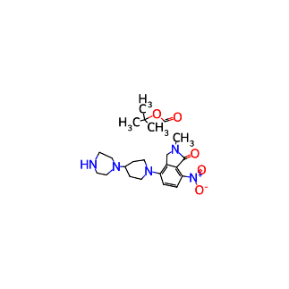 CC(C)(C)OC=O.CN1Cc2c(N3CCC(N4CCNCC4)CC3)ccc([N+](=O)[O-])c2C1=O